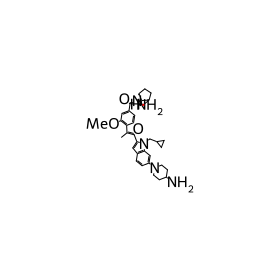 COc1cc(C(=O)N2CC3CCC2[C@@H]3N)cc2oc(-c3cc4ccc(N5CCC(N)CC5)cc4n3CC3CC3)c(C)c12